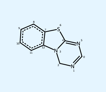 C1=NCN2C(=N1)Sc1ccccc12